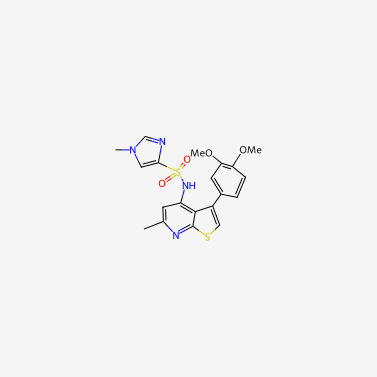 COc1ccc(-c2csc3nc(C)cc(NS(=O)(=O)c4cn(C)cn4)c23)cc1OC